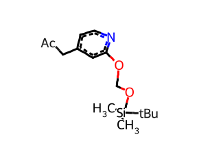 CC(=O)Cc1ccnc(OCO[Si](C)(C)C(C)(C)C)c1